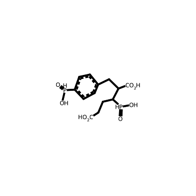 O=C(O)CCC(C(Cc1ccc([PH](=O)O)cc1)C(=O)O)[PH](=O)O